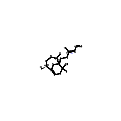 CCC1(C)CC=C2CC1(CC/C(C)=C/NC)N(C)CC[C@H]2C